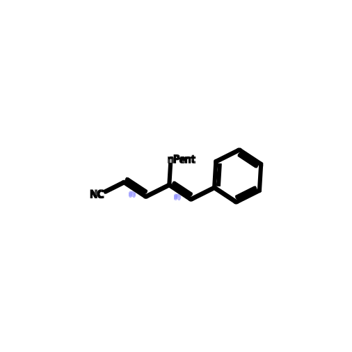 CCCCCC(/C=C/C#N)=C\c1ccccc1